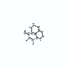 CC1=C(C)c2cccc3cccc(c23)C1=O